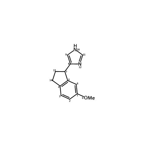 COc1ccc2c(c1)C(c1c[nH]cn1)CC2